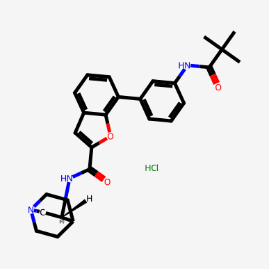 CC(C)(C)C(=O)Nc1cccc(-c2cccc3cc(C(=O)N[C@H]4CN5CCC4CC5)oc23)c1.Cl